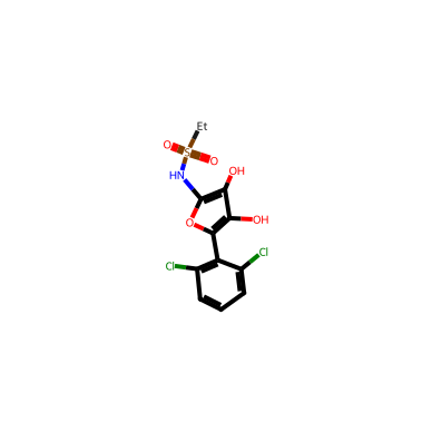 CCS(=O)(=O)Nc1oc(-c2c(Cl)cccc2Cl)c(O)c1O